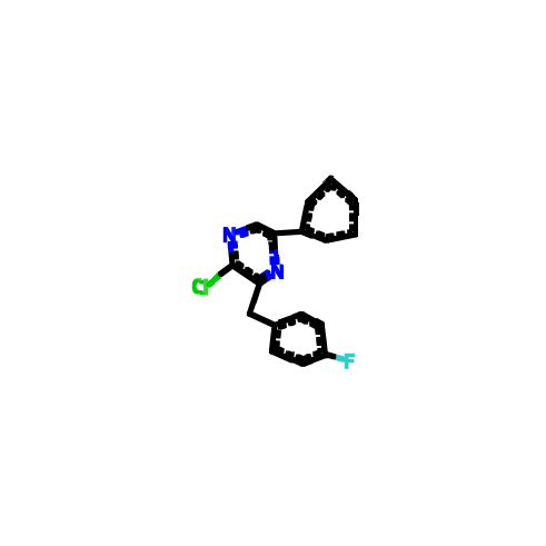 Fc1ccc(Cc2nc(-c3ccccc3)cnc2Cl)cc1